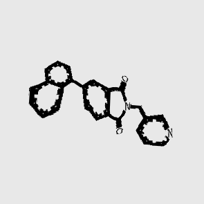 O=C1c2ccc(-c3cccc4ccccc34)cc2C(=O)N1Cc1cccnc1